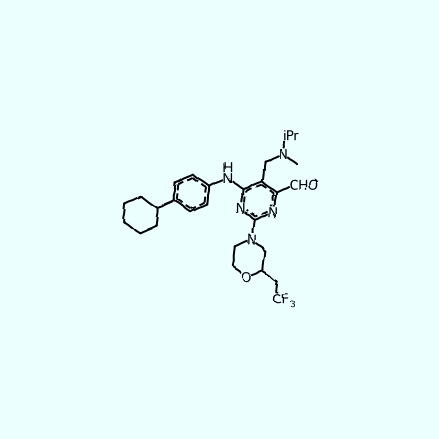 CC(C)N(C)Cc1c(C=O)nc(N2CCOC(CC(F)(F)F)C2)nc1Nc1ccc(C2CCCCC2)cc1